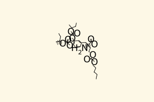 CCCCCOC(=O)OCC[C@@](N)(Cc1ccc(OC(=O)O[C@@H](C)CC)c(OC(=O)OC(C)CC)c1)C(=O)OC